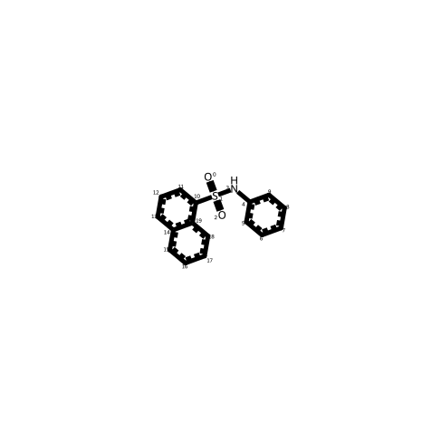 O=S(=O)(Nc1ccccc1)c1cccc2ccccc12